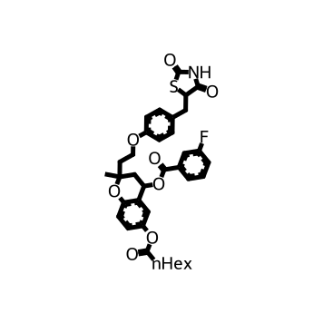 CCCCCCC(=O)Oc1ccc2c(c1)C(OC(=O)c1cccc(F)c1)CC(C)(CCOc1ccc(CC3SC(=O)NC3=O)cc1)O2